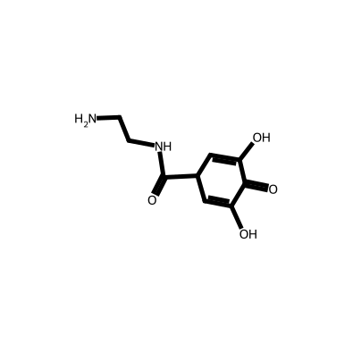 NCCNC(=O)C1C=C(O)C(=O)C(O)=C1